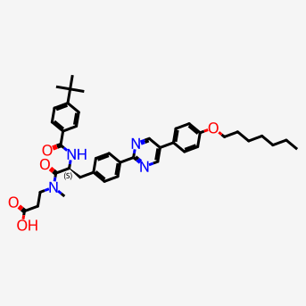 CCCCCCCOc1ccc(-c2cnc(-c3ccc(C[C@H](NC(=O)c4ccc(C(C)(C)C)cc4)C(=O)N(C)CCC(=O)O)cc3)nc2)cc1